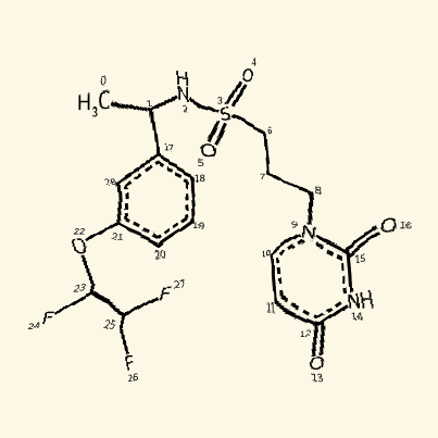 CC(NS(=O)(=O)CCCn1ccc(=O)[nH]c1=O)c1cccc(OC(F)C(F)F)c1